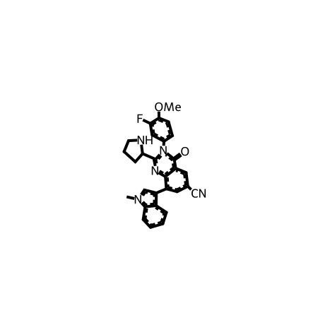 COc1ccc(-n2c(C3CCCN3)nc3c(-c4cn(C)c5ccccc45)cc(C#N)cc3c2=O)cc1F